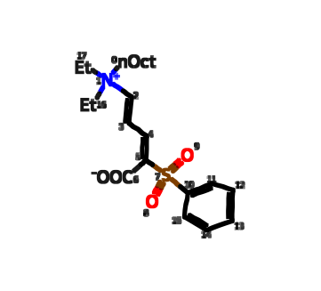 CCCCCCCC[N+](C=CC=C(C(=O)[O-])S(=O)(=O)c1ccccc1)(CC)CC